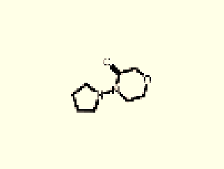 O=C1COCCN1N1CCCC1